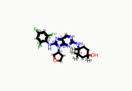 [2H]C1(O)CCC([2H])(Nc2ncc3nc(Nc4c(F)cc(F)cc4F)n(C4CCOC4)c3n2)C([2H])([2H])C1